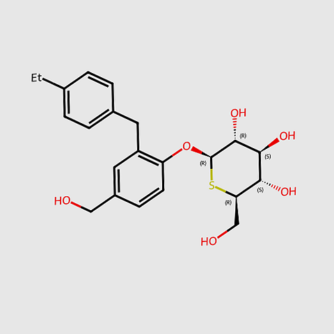 CCc1ccc(Cc2cc(CO)ccc2O[C@@H]2S[C@H](CO)[C@@H](O)[C@H](O)[C@H]2O)cc1